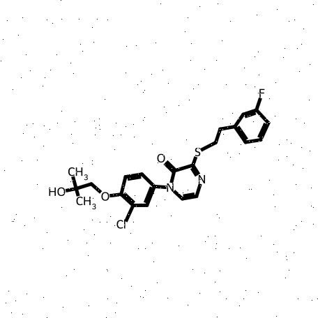 CC(C)(O)COc1ccc(-n2ccnc(SCCc3cccc(F)c3)c2=O)cc1Cl